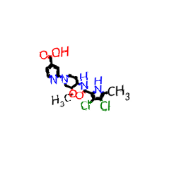 COC1CN(c2cc(C(=O)O)ccn2)CCC1NC(=O)c1[nH]c(C)c(Cl)c1Cl